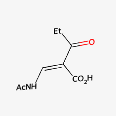 CCC(=O)C(=CNC(C)=O)C(=O)O